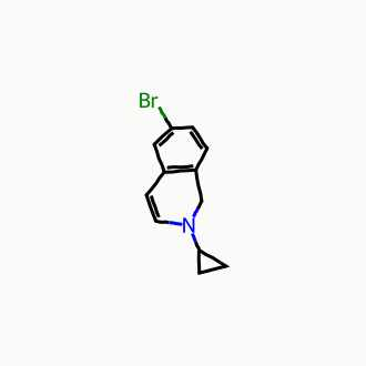 Brc1ccc2c(c1)C=CN(C1CC1)C2